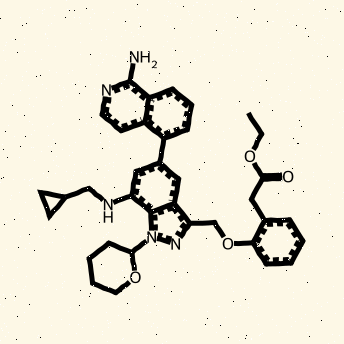 CCOC(=O)Cc1ccccc1OCc1nn(C2CCCCO2)c2c(NCC3CC3)cc(-c3cccc4c(N)nccc34)cc12